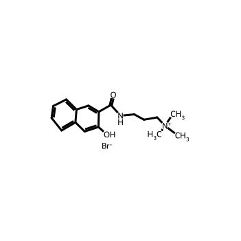 C[N+](C)(C)CCCNC(=O)c1cc2ccccc2cc1O.[Br-]